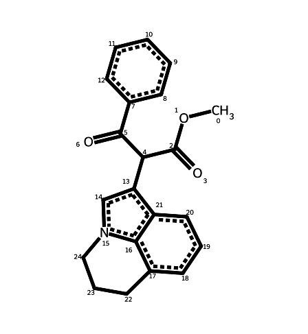 COC(=O)C(C(=O)c1ccccc1)c1cn2c3c(cccc13)CCC2